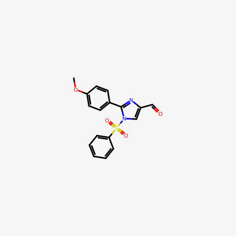 COc1ccc(-c2nc(C=O)cn2S(=O)(=O)c2ccccc2)cc1